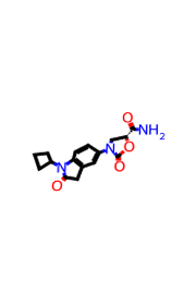 NC(=O)[C@H]1CN(c2ccc3c(c2)CC(=O)N3C2CCC2)C(=O)O1